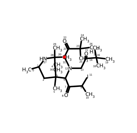 CC(CC(C)(C)C(C(=O)C(C)I)N(CC(=O)C(C)(C)C)CC(=O)C(C)(C)C)NC(C)(C)C